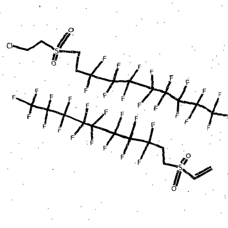 C=CS(=O)(=O)CCC(F)(F)C(F)(F)C(F)(F)C(F)(F)C(F)(F)C(F)(F)C(F)(F)C(F)(F)F.O=S(=O)(CCCl)CCC(F)(F)C(F)(F)C(F)(F)C(F)(F)C(F)(F)C(F)(F)C(F)(F)C(F)(F)F